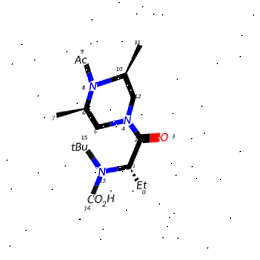 CC[C@@H](C(=O)N1C[C@@H](C)N(C(C)=O)[C@@H](C)C1)N(C(=O)O)C(C)(C)C